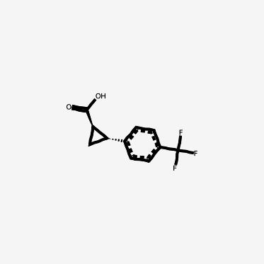 O=C(O)[C@@H]1C[C@H]1c1ccc(C(F)(F)F)cc1